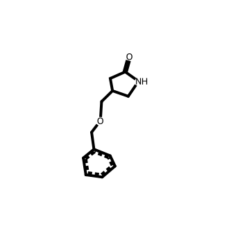 O=C1CC(COCc2ccccc2)CN1